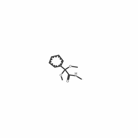 [CH2]NC(=O)C(OC)(OC)c1ccccc1